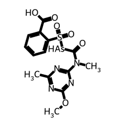 COc1nc(C)nc(N(C)C(=O)[AsH]S(=O)(=O)c2ccccc2C(=O)O)n1